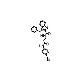 N#Cc1ccc(NC(=O)CCNC(=O)c2nc3ccccc3n2Cc2ccccc2)cn1